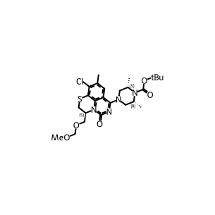 COCOC[C@H]1CSc2c(Cl)c(C)cc3c(N4C[C@@H](C)N(C(=O)OC(C)(C)C)[C@@H](C)C4)nc(=O)n1c23